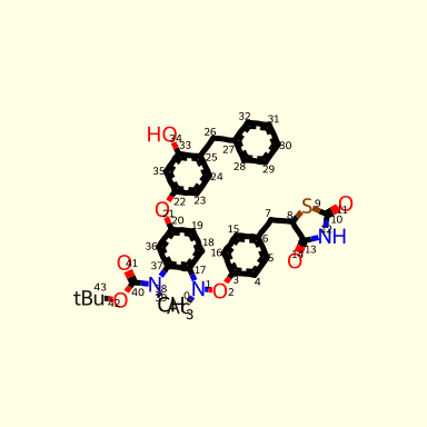 CC(=O)N(Oc1ccc(CC2SC(=O)NC2=O)cc1)c1ccc(Oc2ccc(Cc3ccccc3)c(O)c2)cc1N(C)C(=O)OC(C)(C)C